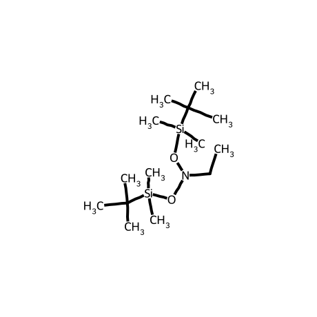 CCN(O[Si](C)(C)C(C)(C)C)O[Si](C)(C)C(C)(C)C